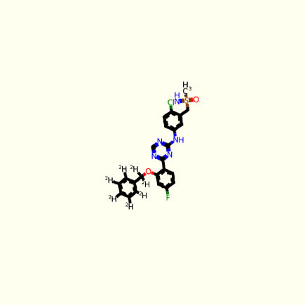 [2H]c1c([2H])c([2H])c(C([2H])([2H])Oc2cc(F)ccc2-c2ncnc(Nc3ccc(Cl)c(CS(C)(=N)=O)c3)n2)c([2H])c1[2H]